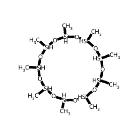 C[SiH]1O[SiH](C)O[SiH](C)O[SiH](C)O[SiH](C)O[SiH](C)O[SiH](C)O[SiH](C)O[SiH](C)O1